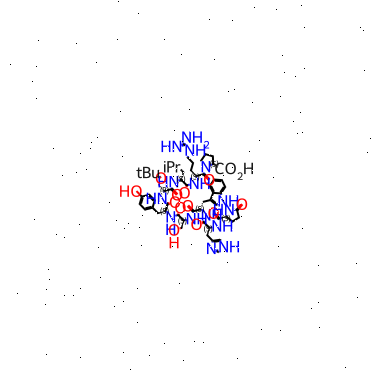 CC(C)C[C@H](NC(=O)[C@@H](COC(C)(C)C)NC(=O)[C@H](Cc1ccc(O)cc1)NC(=O)[C@H](CO)NC(=O)[C@H](Cc1c[nH]c2ccccc12)NC(=O)[C@H](Cc1c[nH]cn1)NC(=O)[C@@H]1CCC(=O)N1)C(=O)N[C@@H](CCCNC(=N)N)C(=O)N1CCC[C@H]1C(=O)O